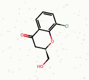 O=C1C[C@H](CO)Oc2c(Cl)cccc21